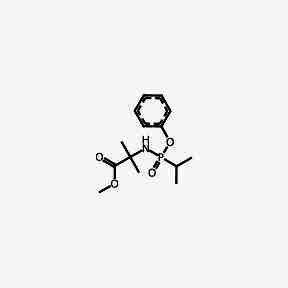 COC(=O)C(C)(C)NP(=O)(Oc1ccccc1)C(C)C